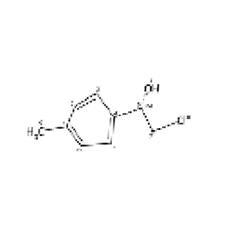 Cc1ccc([C@H](O)CCl)cc1